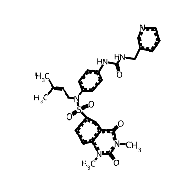 CC(C)=CCN(c1ccc(NC(=O)NCc2cccnc2)cc1)S(=O)(=O)c1ccc2c(c1)c(=O)n(C)c(=O)n2C